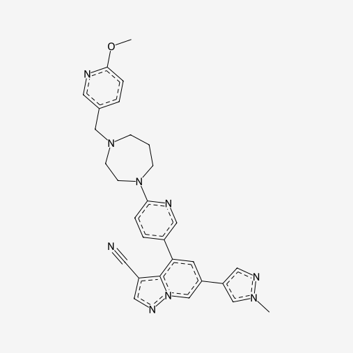 COc1ccc(CN2CCCN(c3ccc(-c4cc(-c5cnn(C)c5)cn5ncc(C#N)c45)cn3)CC2)cn1